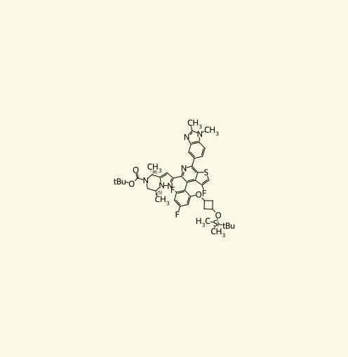 Cc1nc2cc(-c3nc(-c4cc5n(n4)[C@@H](C)CN(C(=O)OC(C)(C)C)[C@@H]5C)c(-c4c(F)cc(F)cc4OC4CC(O[Si](C)(C)C(C)(C)C)C4)c4c(F)csc34)ccc2n1C